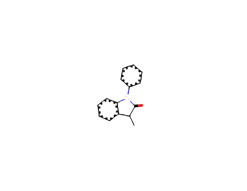 CC1C(=O)N(c2ccccc2)c2ccccc21